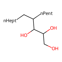 CCCCCCCCC(CCCCC)C(O)C(O)CO